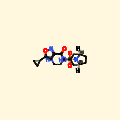 O=C(N[C@H]1C[C@H]2CC[C@@H](C1)N2S(=O)(=O)N1CCNCC1)c1cc(C2CC2)on1